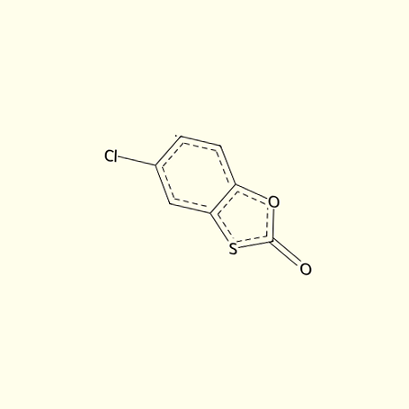 O=c1oc2c[c]c(Cl)cc2s1